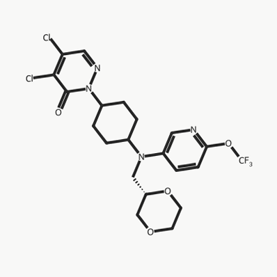 O=c1c(Cl)c(Cl)cnn1C1CCC(N(C[C@H]2COCCO2)c2ccc(OC(F)(F)F)nc2)CC1